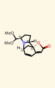 COC(OC)[C@H]1CC[C@H]2N1[C@@H]1C=CC3=CC(=O)O[C@@]32C1